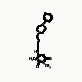 Cn1c(NCCCCN2CCN(c3ccccc3)CC2)cc(=O)n(C)c1=O